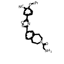 CCCOc1ccc(-c2nc(-c3ccc4c(c3)CCN(C(=O)CN)CC4)no2)cc1C#N